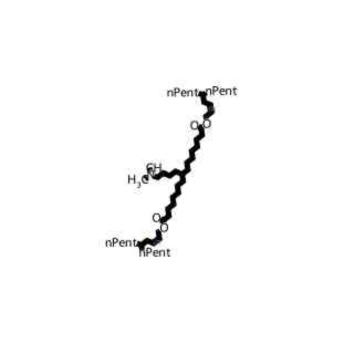 CCCCCC(C/C=C\COC(=O)CCCCCCCC(CCCCCCCC(=O)OC/C=C\CC(CCCCC)CCCCC)CCCCN(C)C)CCCCC